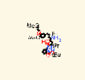 COCCCOc1cc(C[C@@H](C[C@H](N)[C@@H](O)C[C@H](C(=O)NCC2(NC(=O)OC(C)(C)C)CCCC2)C(C)C)C(C)C)ccc1OC